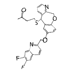 CC(=O)CCSC1c2cc(OCc3ccc4cc(F)c(F)cc4n3)ccc2OCc2ncccc21